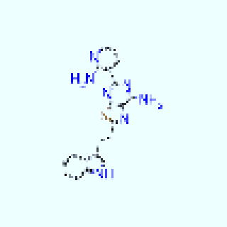 Nc1ncccc1-c1nc(N)c2nc(CCc3c[nH]c4ccccc34)sc2n1